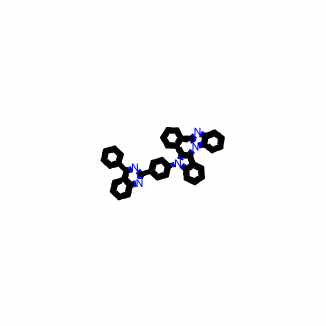 c1ccc(-c2nc(-c3ccc(-n4c5ccccc5c5c4c4ccccc4c4nc6ccccc6n45)cc3)nc3ccccc23)cc1